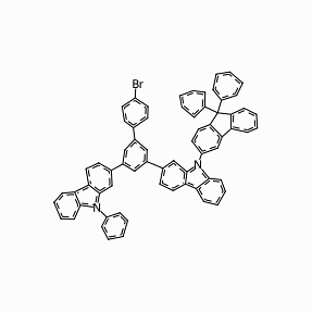 Brc1ccc(-c2cc(-c3ccc4c5ccccc5n(-c5ccccc5)c4c3)cc(-c3ccc4c5ccccc5n(-c5ccc6c(c5)-c5ccccc5C6(c5ccccc5)c5ccccc5)c4c3)c2)cc1